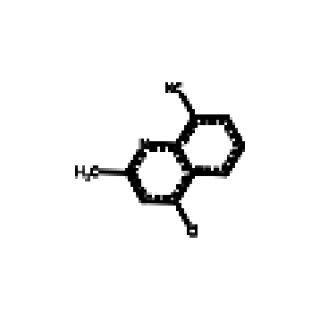 Cc1cc(Cl)c2cccc(C#N)c2n1